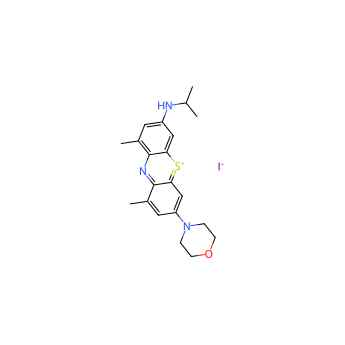 Cc1cc(NC(C)C)cc2[s+]c3cc(N4CCOCC4)cc(C)c3nc12.[I-]